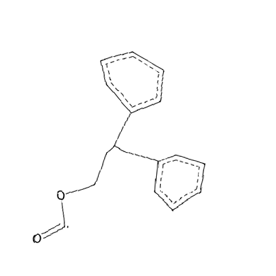 O=[C]OCCC(c1ccccc1)c1ccccc1